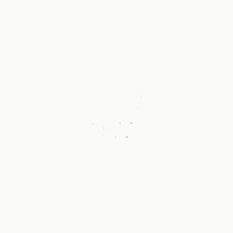 [Cu+2].[Cu+2].[Cu+2].[OH-].[OH-].[S-2].[S-2]